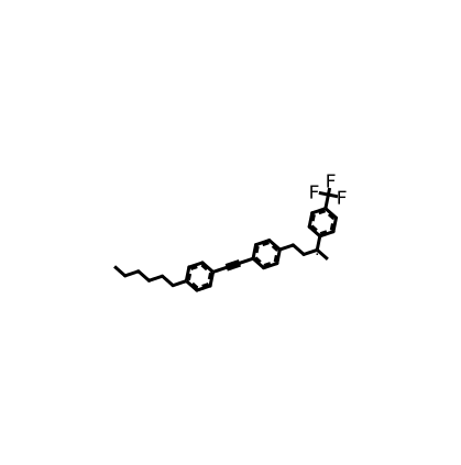 CCCCCCc1ccc(C#Cc2ccc(CC[C](C)c3ccc(C(F)(F)F)cc3)cc2)cc1